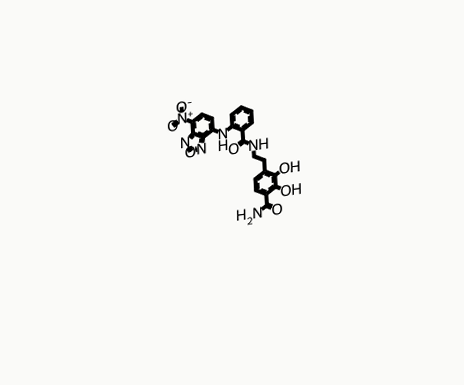 NC(=O)c1ccc(CCNC(=O)c2ccccc2Nc2ccc([N+](=O)[O-])c3nonc23)c(O)c1O